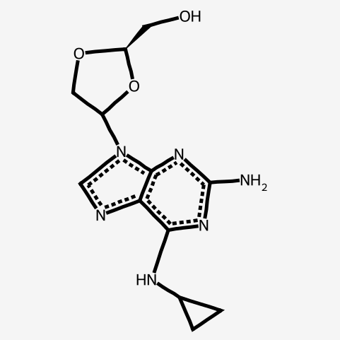 Nc1nc(NC2CC2)c2ncn(C3CO[C@@H](CO)O3)c2n1